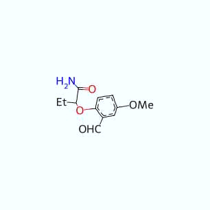 CCC(Oc1ccc(OC)cc1C=O)C(N)=O